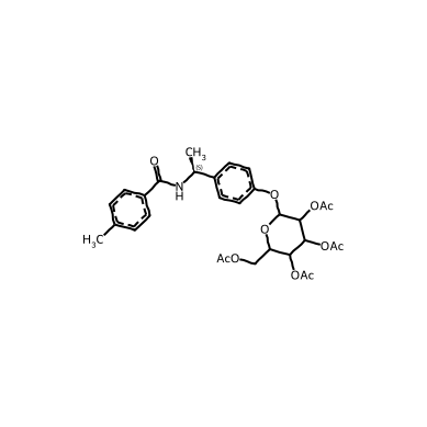 CC(=O)OCC1OC(Oc2ccc([C@H](C)NC(=O)c3ccc(C)cc3)cc2)C(OC(C)=O)C(OC(C)=O)C1OC(C)=O